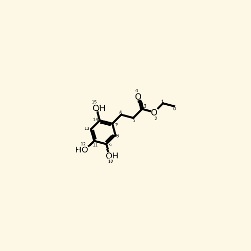 CCOC(=O)CCc1cc(O)c(O)cc1O